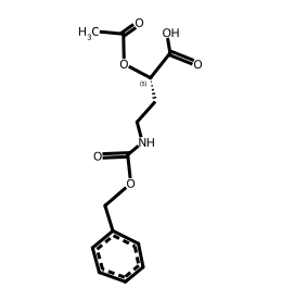 CC(=O)O[C@@H](CCNC(=O)OCc1ccccc1)C(=O)O